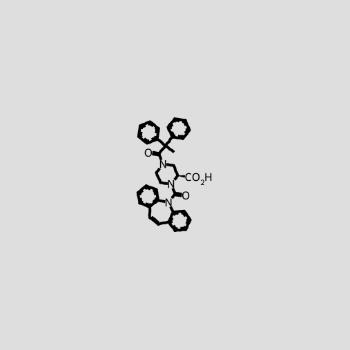 CC(C(=O)N1CCN(C(=O)N2c3ccccc3C=Cc3ccccc32)[C@H](C(=O)O)C1)(c1ccccc1)c1ccccc1